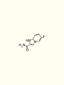 NC(=O)C1=CN2C=C(F)C=CC2N1